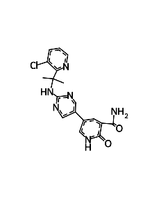 CC(C)(Nc1ncc(-c2c[nH]c(=O)c(C(N)=O)c2)cn1)c1ncccc1Cl